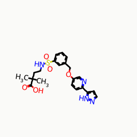 CC(C)(CCNS(=O)(=O)c1cccc(COc2ccc(-c3ccn[nH]3)nc2)c1)C(=O)O